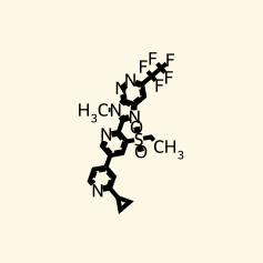 CCS(=O)(=O)c1cc(-c2ccnc(C3CC3)c2)cnc1-c1nc2cc(C(F)(F)C(F)(F)F)nnc2n1C